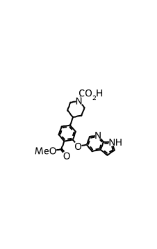 COC(=O)c1ccc(C2CCN(C(=O)O)CC2)cc1Oc1cnc2[nH]ccc2c1